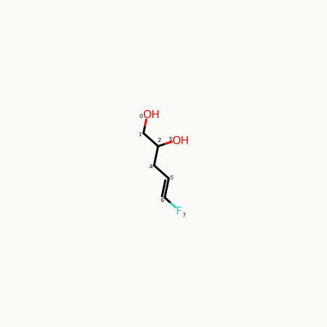 OCC(O)CC=CF